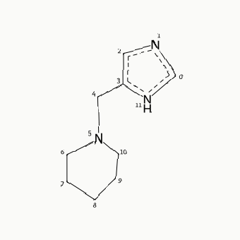 c1ncc(CN2CCCCC2)[nH]1